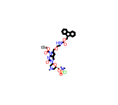 CN1CC(n2cc3cc(COCCNC(=O)OCC4c5ccccc5-c5ccccc54)n(C(=O)OC(C)(C)C)c3nc2=O)O[C@H](COP(=O)(Cl)N(C)C)C1